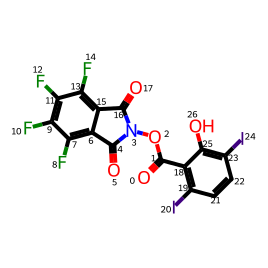 O=C(ON1C(=O)c2c(F)c(F)c(F)c(F)c2C1=O)c1c(I)ccc(I)c1O